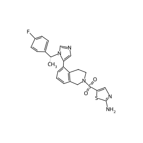 C[C@H](c1ccc(F)cc1)n1cncc1-c1cccc2c1CCN(S(=O)(=O)c1cnc(N)s1)C2